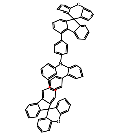 c1ccc(-c2ccccc2N(c2ccc(-c3cccc4c3-c3ccccc3C43c4ccccc4Oc4ccccc43)cc2)c2cccc(-c3ccc4c(c3)-c3ccccc3C43c4ccccc4Oc4ccccc43)c2)cc1